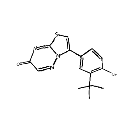 CC(C)(C)c1cc(-c2csc3nc(=O)cnn23)ccc1O